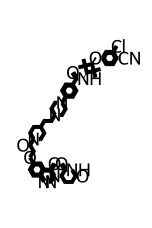 CC1(C)[C@H](NC(=O)c2ccc(N3CCN(CCC4CCN(C(=O)COc5ccc6nnn(C7CCC(=O)NC7=O)c(=O)c6c5)CC4)CC3)cc2)C(C)(C)[C@H]1Oc1ccc(C#N)c(Cl)c1